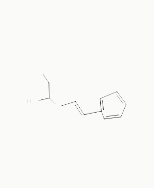 CCC(C)OC=Cc1ccccc1